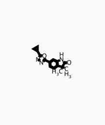 CC1(C)C(=O)Nc2cc(-c3nnc(C4CC4)o3)ccc21